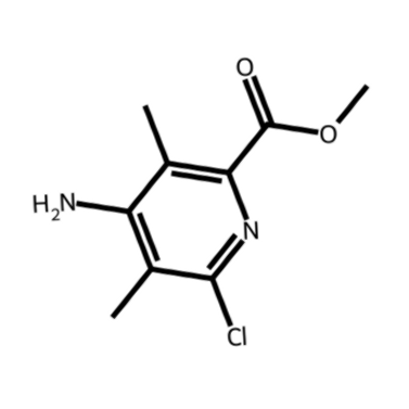 COC(=O)c1nc(Cl)c(C)c(N)c1C